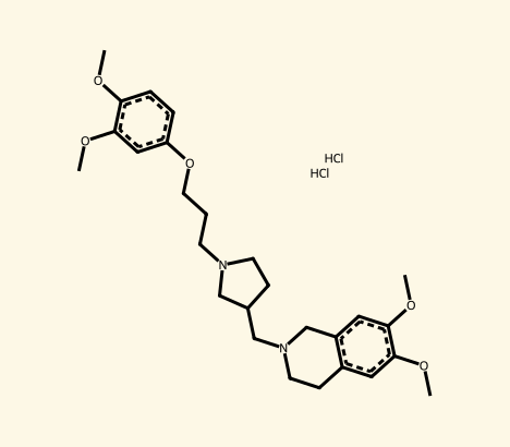 COc1ccc(OCCCN2CCC(CN3CCc4cc(OC)c(OC)cc4C3)C2)cc1OC.Cl.Cl